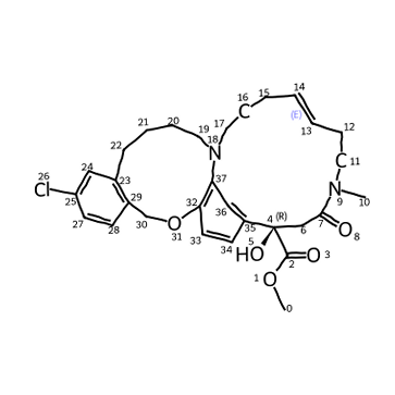 COC(=O)[C@@]1(O)CC(=O)N(C)CC/C=C/CCCN2CCCCc3cc(Cl)ccc3COc3ccc1cc32